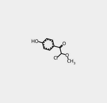 COC(Cl)C(=O)c1ccc(O)cc1